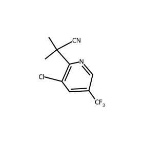 CC(C)(C#N)c1ncc(C(F)(F)F)cc1Cl